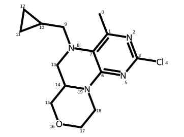 Cc1nc(Cl)nc2c1N(CC1CC1)CC1COCCN21